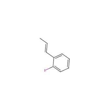 CC=Cc1ccccc1I